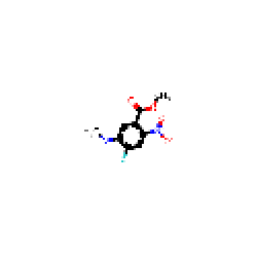 CNc1cc(C(=O)OC)c([N+](=O)[O-])cc1F